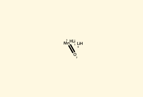 [LiH].[LiH].[O]=[Mn]